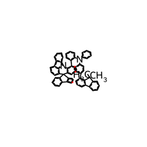 CC1(C)c2ccccc2-c2cccc(-c3ccc(N(c4ccccc4)c4ccccc4-c4cccc5c4-n4c6ccccc6c6cccc(c64)C54c5ccccc5-c5ccccc54)cc3)c21